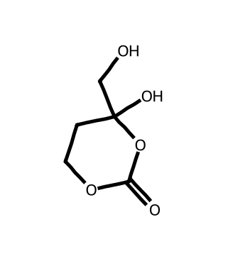 O=C1OCCC(O)(CO)O1